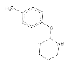 Cc1ccc(OC2[CH]CCCN2)cc1